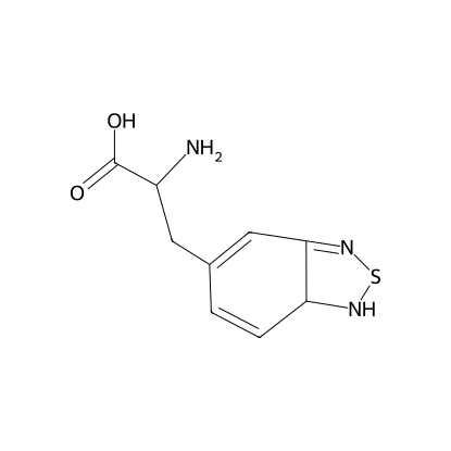 NC(CC1=CC2=NSNC2C=C1)C(=O)O